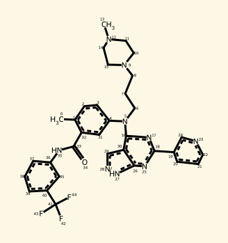 Cc1ccc(N(CCCN2CCN(C)CC2)c2nc(-c3cccnc3)nc3[nH]ncc23)cc1C(=O)Nc1cccc(C(F)(F)F)c1